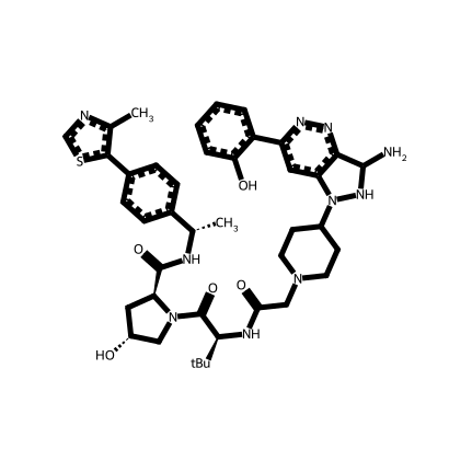 Cc1ncsc1-c1ccc([C@H](C)NC(=O)[C@@H]2C[C@@H](O)CN2C(=O)[C@@H](NC(=O)CN2CCC(N3NC(N)c4nnc(-c5ccccc5O)cc43)CC2)C(C)(C)C)cc1